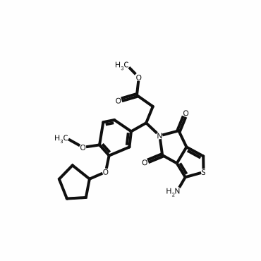 COC(=O)CC(c1ccc(OC)c(OC2CCCC2)c1)N1C(=O)c2csc(N)c2C1=O